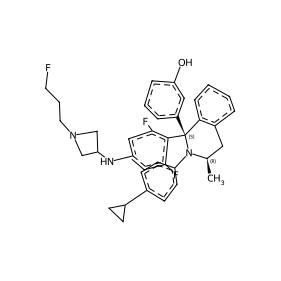 C[C@@H]1Cc2ccccc2[C@@](c2cccc(O)c2)(c2c(F)cc(NC3CN(CCCF)C3)cc2F)N1c1ccc(C2CC2)cc1